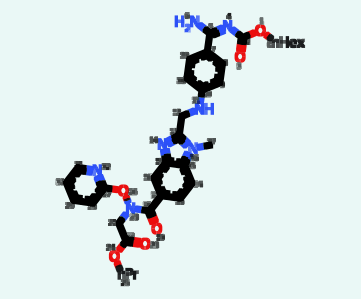 CCCCCCOC(=O)/N=C(/N)c1ccc(NCc2nc3cc(C(=O)N(CC(=O)OCCC)Oc4ccccn4)ccc3n2C)cc1